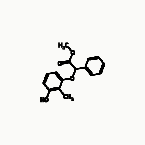 COC(=O)C(Oc1cccc(O)c1C)c1ccccc1